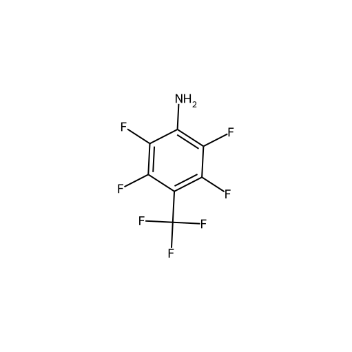 Nc1c(F)c(F)c(C(F)(F)F)c(F)c1F